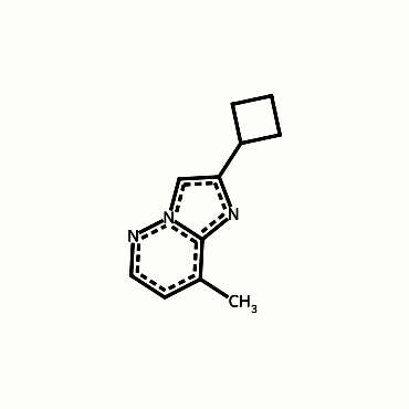 Cc1ccnn2cc(C3CCC3)nc12